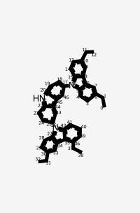 CCc1ccc2c(c1)c1cc(CC)ccc1n2-c1ccc2[nH]c3ccc(-n4c5ccc(CC)cc5c5c(CC)cccc54)cc3c2c1